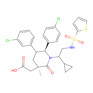 C[C@]1(CC(=O)O)CC(c2cccc(Cl)c2)[C@@H](c2ccc(Cl)cc2)N(C(CNS(=O)(=O)c2cccs2)C2CC2)C1=O